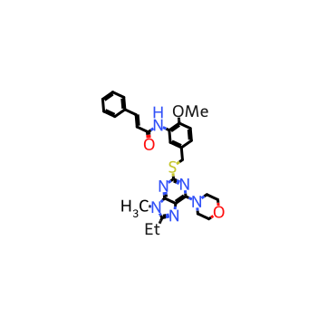 CCc1nc2c(N3CCOCC3)nc(SCc3ccc(OC)c(NC(=O)/C=C/c4ccccc4)c3)nc2n1C